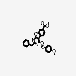 COC(=O)c1ccc2c(c1)oc1nc(Cc3ccccc3)nc(OOc3ccc(OC)cc3)c12